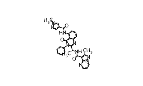 Cc1nn2cccnc2c1C(=O)N[C@H](C)c1nc2cccc(NC(=O)c3cnn(C)c3)c2c(=O)n1-c1ccccc1